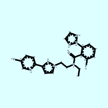 CCN(CCn1ccc(-c2ccc(F)cn2)n1)C(=O)c1c(F)cccc1-n1nccn1